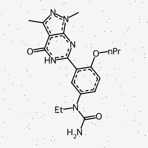 CCCOc1ccc(N(CC)C(N)=O)cc1-c1nc2c(c(C)nn2C)c(=O)[nH]1